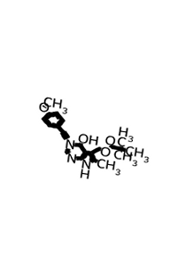 COc1ccc(C#CN2C=Nc3[nH]c(C)c(COC(=O)C(C)(C)C)c3C2O)cc1